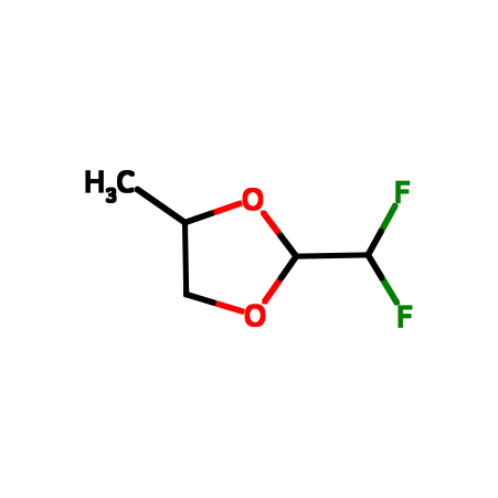 CC1COC(C(F)F)O1